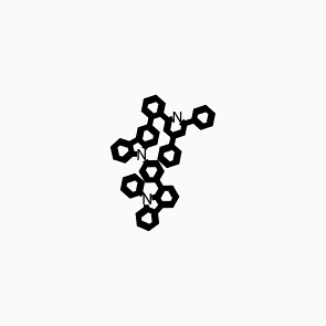 c1ccc(-c2cc(-c3ccccc3)nc(-c3ccccc3-c3ccc4c(c3)c3ccccc3n4-c3ccc(-c4cccc5c6ccccc6n(-c6ccccc6)c45)cc3)c2)cc1